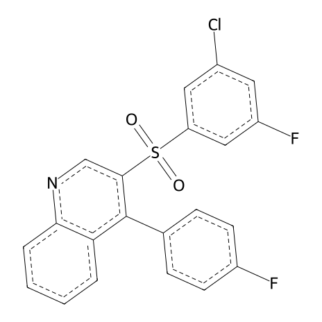 O=S(=O)(c1cc(F)cc(Cl)c1)c1cnc2ccccc2c1-c1ccc(F)cc1